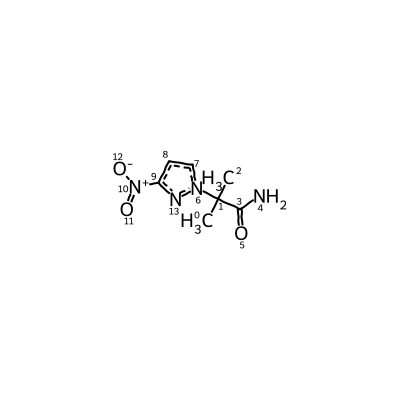 CC(C)(C(N)=O)n1ccc([N+](=O)[O-])n1